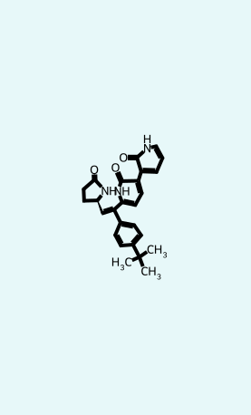 CC(C)(C)c1ccc(/C(=C/[C@H]2CCC(=O)N2)c2ccc(-c3ccc[nH]c3=O)c(=O)[nH]2)cc1